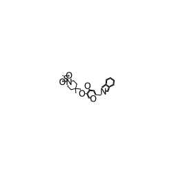 CC1(COc2coc(Cn3cc4ccccc4c3)cc2=O)CCN(S(C)(=O)=O)CC1